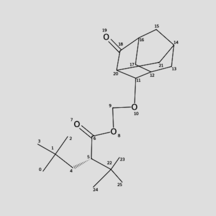 CC(C)(C)C[C@H](C(=O)OCOC1C2CC3CC(C2)C(=O)C1C3)C(C)(C)C